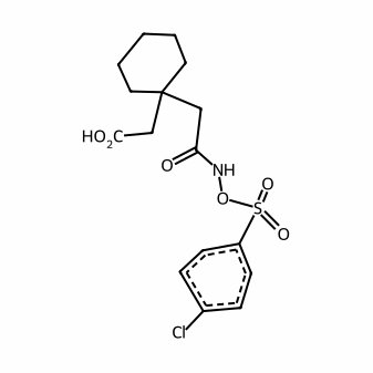 O=C(O)CC1(CC(=O)NOS(=O)(=O)c2ccc(Cl)cc2)CCCCC1